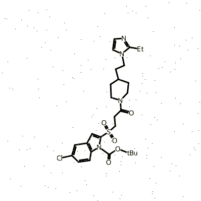 CCc1nccn1CCC1CCN(C(=O)CCS(=O)(=O)c2cc3cc(Cl)ccc3n2C(=O)OC(C)(C)C)CC1